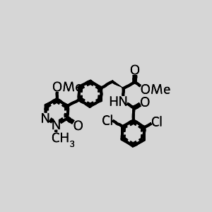 COC(=O)[C@H](Cc1ccc(-c2c(OC)cnn(C)c2=O)cc1)NC(=O)c1c(Cl)cccc1Cl